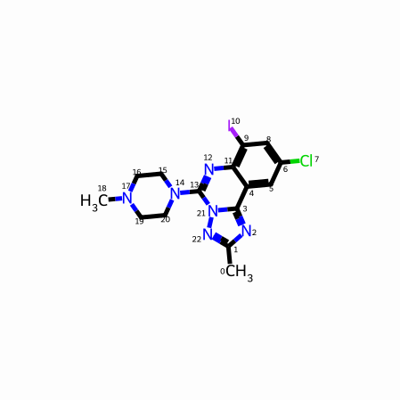 Cc1nc2c3cc(Cl)cc(I)c3nc(N3CCN(C)CC3)n2n1